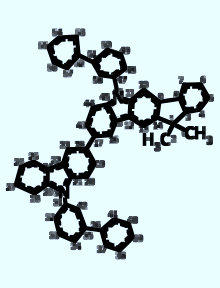 CC1(C)c2ccccc2-c2cc3c(cc21)c1cc(-c2ccc4c(c2)c2ccccc2n4-c2cccc(-c4ccccc4)c2)ccc1n3-c1cccc(-c2ccccc2)c1